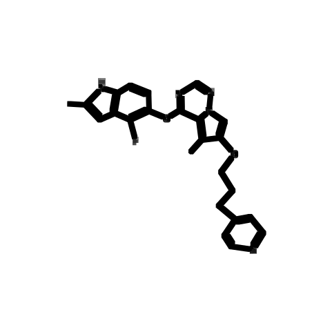 Cc1cc2c(F)c(Oc3ncnn4cc(OCCCc5ccncc5)c(C)c34)ccc2[nH]1